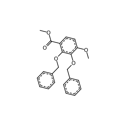 COC(=O)c1ccc(OC)c(OCc2ccccc2)c1OCc1ccccc1